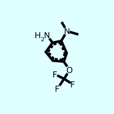 CN(C)c1cc(OC(F)(F)F)ccc1N